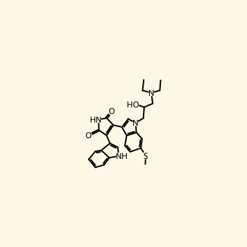 CCN(CC)CC(O)Cn1cc(C2=C(c3c[nH]c4ccccc34)C(=O)NC2=O)c2ccc(SC)cc21